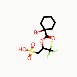 O=C(OC(CS(=O)(=O)O)C(F)(F)F)C1(Br)CCCCC1